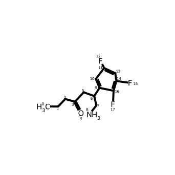 CCCC(=O)CC(CN)c1cc(F)cc(F)c1F